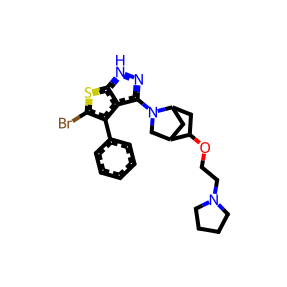 Brc1sc2[nH]nc(N3CC4CC3CC4OCCN3CCCC3)c2c1-c1ccccc1